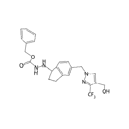 O=C(NNC1CCc2cc(Cn3cc(CO)c(C(F)(F)F)n3)ccc21)OCc1ccccc1